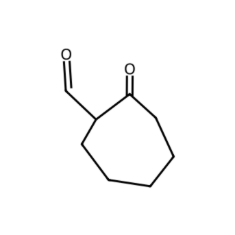 O=CC1CCCCCC1=O